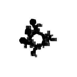 C[C@@H](O)[C@@H]1NC(=O)[C@H](CCCCN)NC(=O)[C@@H](Cc2cc3ccccc3[nH]2)NC(=O)[C@H](Cc2ccc(O)cc2)NC(=O)[C@@H](NC(=O)C(Cc2ccccc2)C(C)(C)C)CSSC[C@@H](C(=O)N[C@H](CO)[C@@H](C)O)NC1=O